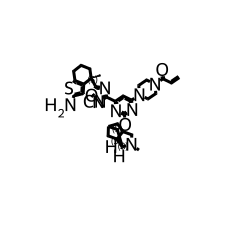 C=CC(=O)N1CCN(c2cc(-c3noc([C@@]4(C)CCCc5sc(N)c(C#N)c54)n3)nc(O[C@H]3C4CC5CN(C)[C@@H]3[C@H]5C4)n2)CC1